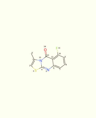 Cc1csc2nc3cccc(F)c3c(=O)n12